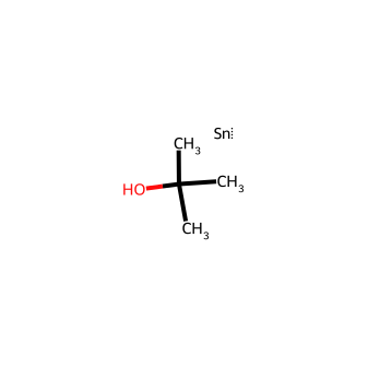 CC(C)(C)O.[Sn]